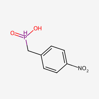 O=[N+]([O-])c1ccc(C[PH](=O)O)cc1